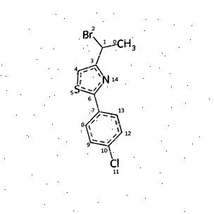 CC(Br)c1csc(-c2ccc(Cl)cc2)n1